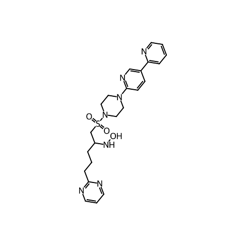 O=S(=O)(CC(CCCc1ncccn1)NO)N1CCN(c2ccc(-c3ccccn3)cn2)CC1